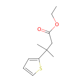 CCOC(=O)CC(C)(C)c1cccs1